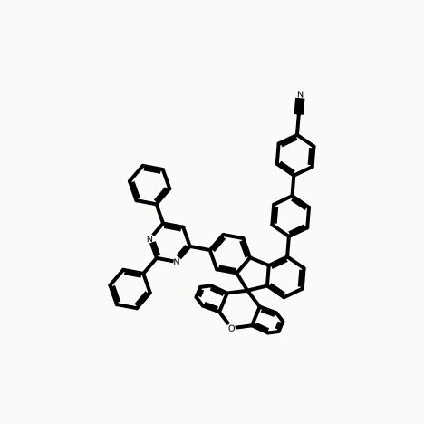 N#Cc1ccc(-c2ccc(-c3cccc4c3-c3ccc(-c5cc(-c6ccccc6)nc(-c6ccccc6)n5)cc3C43c4ccccc4Oc4ccccc43)cc2)cc1